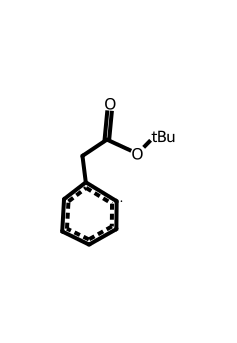 CC(C)(C)OC(=O)Cc1[c]cccc1